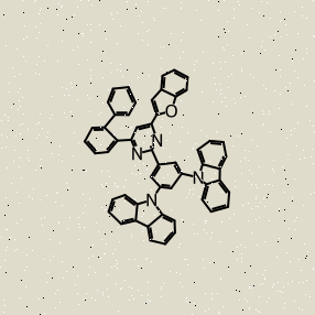 c1ccc(-c2ccccc2-c2cc(-c3cc4ccccc4o3)nc(-c3cc(-n4c5ccccc5c5ccccc54)cc(-n4c5ccccc5c5ccccc54)c3)n2)cc1